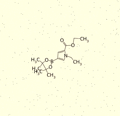 CCOC(=O)c1cc(B2OC(C)(C)C(C)(C)O2)cn1CC